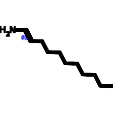 CCCCCCCCC/C=C/N